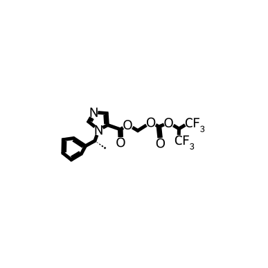 C[C@H](c1ccccc1)n1cncc1C(=O)OCOC(=O)OC(C(F)(F)F)C(F)(F)F